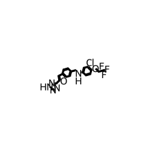 FC(F)(F)COc1ccc(NCc2ccc3cc(-c4nn[nH]n4)oc3c2)cc1Cl